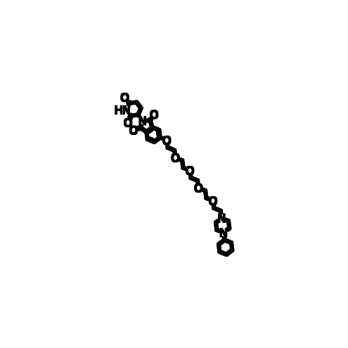 O=C1CCC(N2C(=O)c3ccc(OCCOCCOCCOCCOCCN4CCN(C5CCCCC5)CC4)cc3C2=O)C(=O)N1